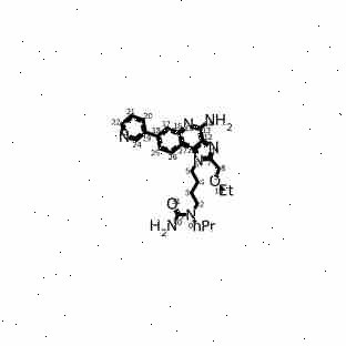 CCCN(CCCCn1c(COCC)nc2c(N)nc3cc(-c4cccnc4)ccc3c21)C(N)=O